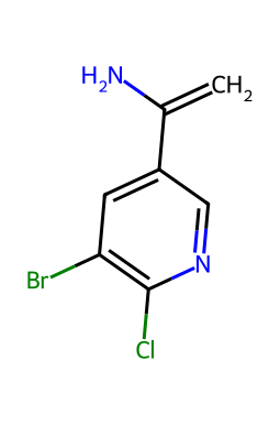 C=C(N)c1cnc(Cl)c(Br)c1